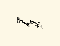 CCN(CC)CCCCc1cnn(-c2ncc(COC(N)=O)s2)c1